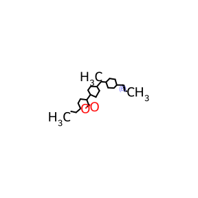 C/C=C/C1CCC(C(C)C2CCC(C3CCC(CCC)OC3=O)CC2)CC1